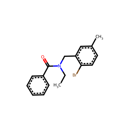 CCN(Cc1cc(C)ccc1Br)C(=O)c1ccccc1